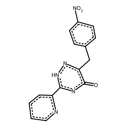 O=c1nc(-c2ccccn2)[nH]nc1Cc1ccc([N+](=O)[O-])cc1